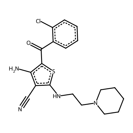 N#Cc1c(NCCN2CCCCC2)sc(C(=O)c2ccccc2Cl)c1N